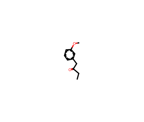 CCC(=O)Cc1cccc(OC)c1